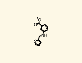 COC(=O)c1cccc(NCc2cccs2)c1